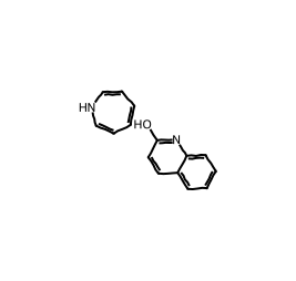 C1=CC=CNC=C1.Oc1ccc2ccccc2n1